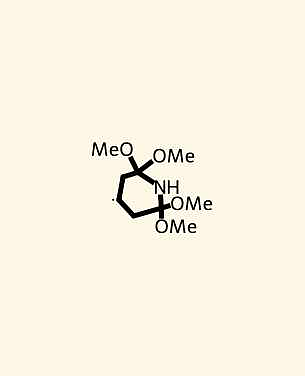 COC1(OC)C[CH]CC(OC)(OC)N1